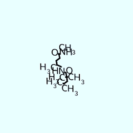 CNC(=O)CC[C@@H](C)CNC(=O)C(C)(C)CC(C)C